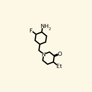 CCC1CCN(CC2CCC(N)C(F)C2)CC1=O